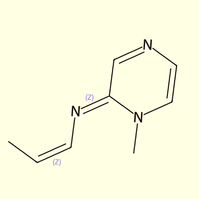 C/C=C\N=c1\cnccn1C